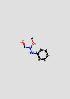 CON([C]=O)Nc1ccccc1